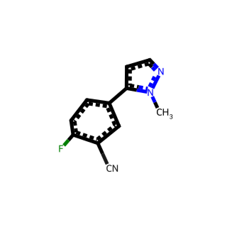 Cn1nccc1-c1ccc(F)c(C#N)c1